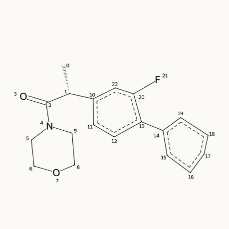 C[C@@H](C(=O)N1CCOCC1)c1ccc(-c2ccccc2)c(F)c1